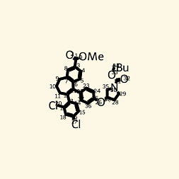 COC(=O)c1ccc2c(c1)CCCC(c1ccc(Cl)cc1Cl)=C2c1ccc(O[C@@H]2CCN(C(=O)OC(C)(C)C)C2)cc1